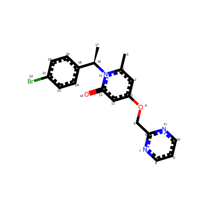 Cc1cc(OCc2ncccn2)cc(=O)n1[C@H](C)c1ccc(Br)cc1